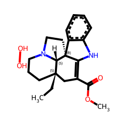 CC[C@]12CCCN3CC[C@]4(C(=C(C(=O)OC)C1)Nc1ccccc14)[C@@H]32.OO